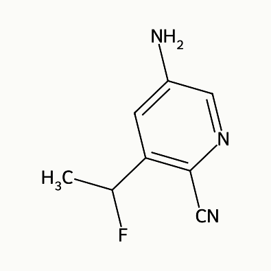 CC(F)c1cc(N)cnc1C#N